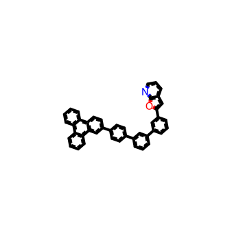 c1cc(-c2ccc(-c3ccc4c5ccccc5c5ccccc5c4c3)cc2)cc(-c2cccc(-c3cc4cccnc4o3)c2)c1